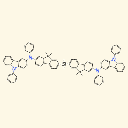 CC1(C)c2cc(N(c3ccccc3)c3ccc4c(c3)c3ccccc3n4-c3ccccc3)ccc2-c2ccc([Si](C)(C)c3ccc4c(c3)C(C)(C)c3cc(N(c5ccccc5)c5ccc6c(c5)c5ccccc5n6-c5ccccc5)ccc3-4)cc21